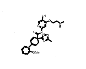 COc1ccccc1C1=CCC(C(=O)Nc2cc(OCCN(C)C)c(C#N)cn2)(c2noc(C)n2)C=C1